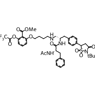 COC(=O)c1c(OCCCCNC[C@H](Cc2ccc(C3CC(=O)N(C(C)(C)C)S3(=O)=O)cc2)NC(=O)[C@H](Cc2ccccc2)NC(C)=O)cccc1OC(=O)C(F)(F)F